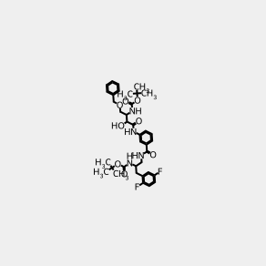 CC(C)(C)OC(=O)NC(CNC(=O)c1cccc(NC(=O)C(O)C(COCc2ccccc2)NC(=O)OC(C)(C)C)c1)Cc1cc(F)ccc1F